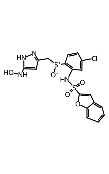 O=S(=O)(Nc1cc(Cl)ccc1[S+]([O-])Cc1cc(NO)[nH]n1)c1cc2ccccc2o1